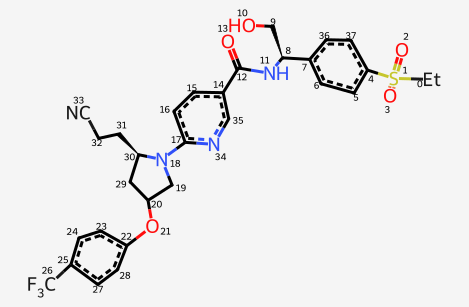 CCS(=O)(=O)c1ccc([C@H](CO)NC(=O)c2ccc(N3CC(Oc4ccc(C(F)(F)F)cc4)C[C@H]3CCC#N)nc2)cc1